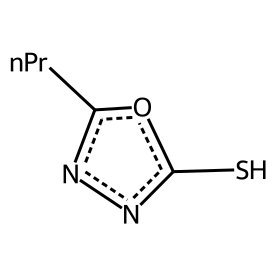 CCCc1nnc(S)o1